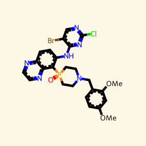 COc1ccc(CN2CCP(=O)(c3c(Nc4nc(Cl)ncc4Br)ccc4nccnc34)CC2)c(OC)c1